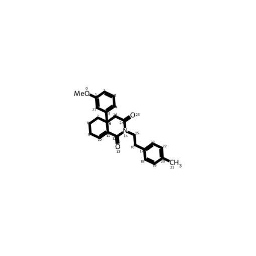 COc1cccc(C23CCCC=C2C(=O)N(CCc2ccc(C)cc2)C(=O)C3)c1